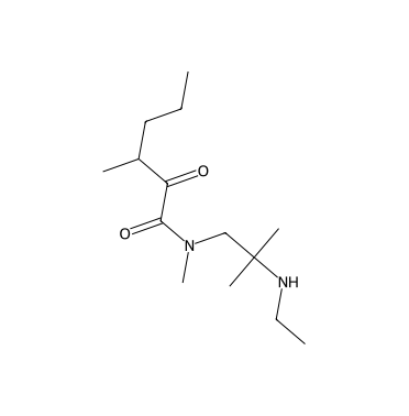 CCCC(C)C(=O)C(=O)N(C)CC(C)(C)NCC